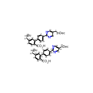 CCCCCCCCCCCc1cnc(-c2ccc(-c3cc(C[C@@H](C)CC)ccc3C(=O)O)cc2)nc1.CCCCCCCCCCc1cnc(-c2ccc(-c3cc(C[C@@H](C)CC)ccc3C(=O)O)cc2)nc1